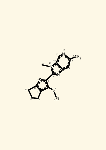 CCSc1c(-c2nc3cc(C(F)(F)F)ncc3n2C)sc2c1CCC2